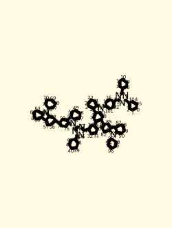 c1ccc(-c2nc(-c3ccccc3)nc(-c3ccc(-n4c5ccccc5c5cc(-c6cccc(-c7nc(-c8ccccc8)nc(-n8c9ccccc9c9cc(-c%10ccc%11c%12ccccc%12n(-c%12ccccc%12)c%11c%10)ccc98)n7)c6)c(-c6ccc7c(c6)c6ccccc6n7-c6ccccc6)cc54)cc3)n2)cc1